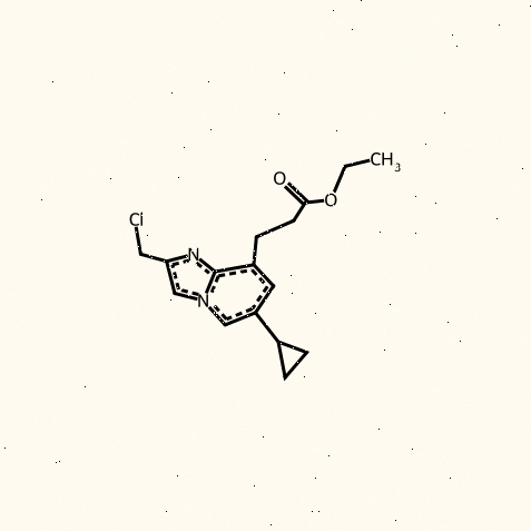 CCOC(=O)CCc1cc(C2CC2)cn2cc(CCl)nc12